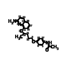 CC(=O)Nc1ccc(OCCCC(C)Oc2cccc3ccc(N)nc23)cc1